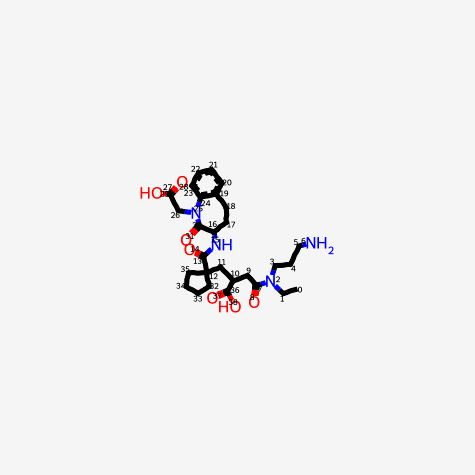 CCN(CCCN)C(=O)CC(CC1(C(=O)NC2CCc3ccccc3N(CC(=O)O)C2=O)CCCC1)C(=O)O